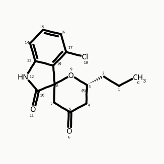 CCC[C@@H]1CC(=O)CC2(O1)C(=O)Nc1cccc(Cl)c12